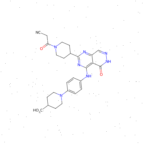 N#CCC(=O)N1CCC(c2nc(Nc3ccc(N4CCC(C(=O)O)CC4)cc3)c3c(=O)[nH]ncc3n2)CC1